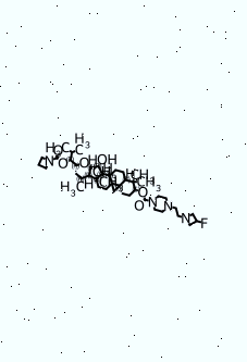 CC(C)[C@@H](OC(=O)N1CCC1)[C@H]1C[C@@H](C)[C@H]2[C@H](O1)[C@H](O)[C@@]1(C)[C@@H]3CC[C@H]4C(C)(C)[C@@H](OC(=O)N5CCN(CCN6CC(F)C6)CC5)CC[C@@]45CC35CC[C@]21C